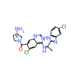 C[C@@H](Nc1ncnc2cc(C(=O)N3CC[C@@H](N)C3)c(Cl)cc12)c1nc2cc(Cl)ccc2[nH]1